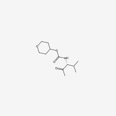 CC(=O)[C@H](NC(=O)OC1CCOCC1)C(C)C